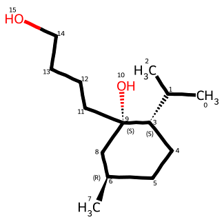 CC(C)[C@@H]1CC[C@@H](C)C[C@@]1(O)CCCCO